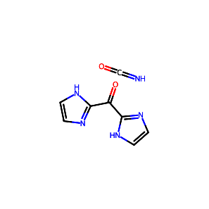 N=C=O.O=C(c1ncc[nH]1)c1ncc[nH]1